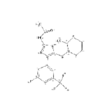 CC(=O)Nc1nc(-c2cc(F)cc(C(F)(F)F)c2)c(CN2CCCCC2C)s1